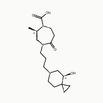 C[C@@H]1CN(CCCN2CCC3(CC3)[C@H](O)C2)C(=O)CCN1C(=O)O